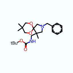 CC1(C)COC2(CN(Cc3ccccc3)CC2(C)CNC(=O)OC(C)(C)C)OC1